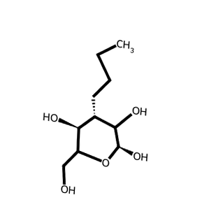 CCCC[C@@H]1C(O)[C@@H](O)OC(CO)[C@H]1O